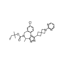 CC1c2nnc(C3CC4(C3)CN(c3ncccn3)C4)n2-c2ccc(Cl)cc2CN1C(=O)OC(C)(C)CF